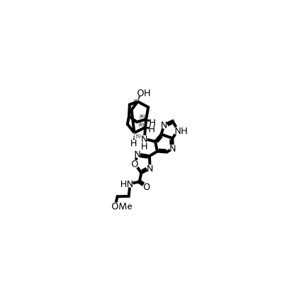 COCCNC(=O)c1nc(-c2cnc3[nH]cnc3c2N[C@H]2[C@@H]3CC4C[C@H]2C[C@@](O)(C4)C3)no1